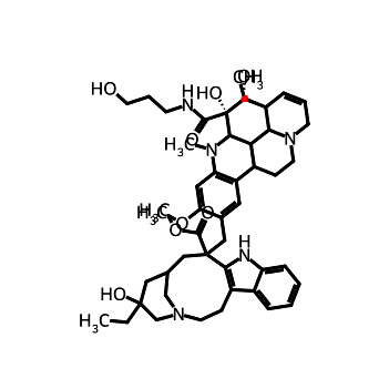 CCC1(O)CC2CN(CCc3c([nH]c4ccccc34)C(Cc3cc4c(cc3OC)N(C)C3C5C4CCN4CC=C[C@](CC)(C54)[C@@H](O)[C@]3(O)C(=O)NCCCO)(C(=O)OC)C2)C1